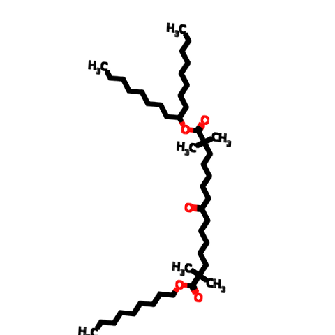 CCCCCCCCCOC(=O)C(C)(C)CCCCCC(=O)CCCCCC(C)(C)C(=O)OC(CCCCCCCC)CCCCCCCC